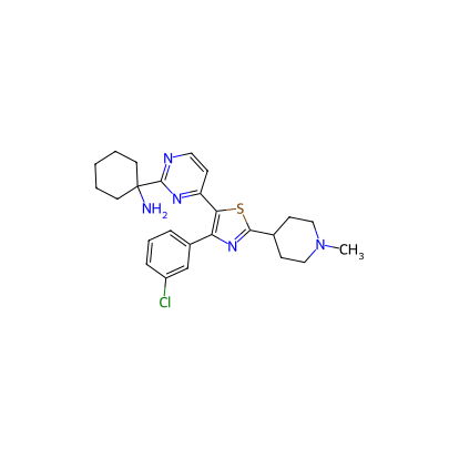 CN1CCC(c2nc(-c3cccc(Cl)c3)c(-c3ccnc(C4(N)CCCCC4)n3)s2)CC1